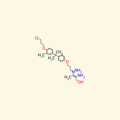 C/C(=C(/N)CO)N(N)CCCOc1ccc(C(C)(C)c2ccc(OCCCCl)c(C)c2)cc1